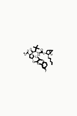 C=CCCC[C@H]1[C@H](OC(=O)N[C@H](C(=O)N2C[C@H](Oc3nc4cc(F)ccc4nc3Cl)C[C@H]2C(=O)OC)C(C)(C)C)CC2C[C@@H]21